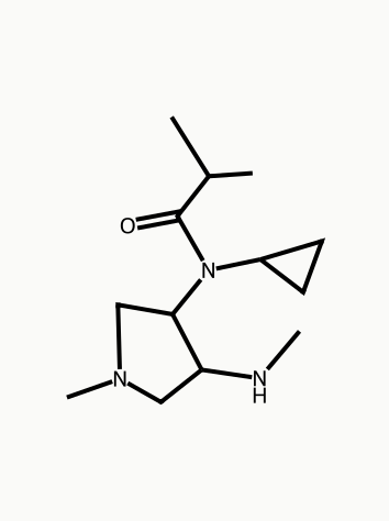 CNC1CN(C)CC1N(C(=O)C(C)C)C1CC1